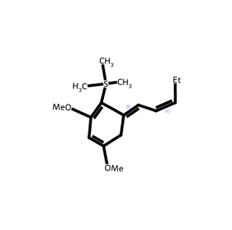 CC/C=C\C=C1/CC(OC)=CC(OC)=C1S(C)(C)C